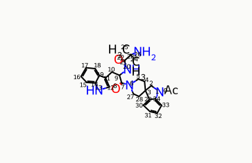 CC(=O)N1CC2(CCN(C(=O)C(Cc3c[nH]c4ccccc34)NC(=O)C(C)(C)N)CC2)c2ccccc21